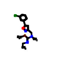 CCN=C(SC)N(C)Cc1cc(-c2cccc(Cl)c2)on1